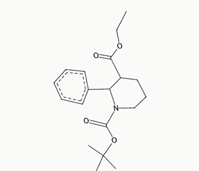 CCOC(=O)C1CCCN(C(=O)OC(C)(C)C)C1c1ccccc1